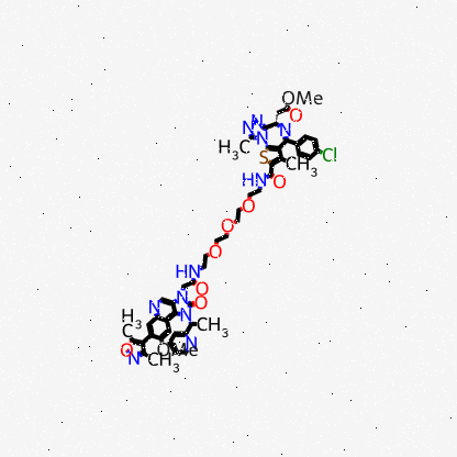 COC(=O)C[C@@H]1N=C(c2ccc(Cl)cc2)c2c(sc(C(=O)NCCOCCOCCOCCNC(=O)Cn3c(=O)n(C(C)c4ccccn4)c4c5cc(OC)c(-c6c(C)noc6C)cc5ncc43)c2C)-n2c(C)nnc21